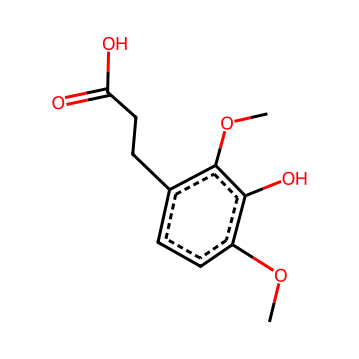 COc1ccc(CCC(=O)O)c(OC)c1O